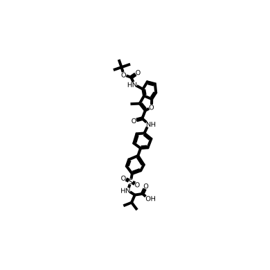 Cc1c(C(=O)Nc2ccc(-c3ccc(S(=O)(=O)NC(C(=O)O)C(C)C)cc3)cc2)oc2cccc(NC(=O)OC(C)(C)C)c12